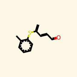 C=C(/C=C/C=O)Sc1ccccc1C